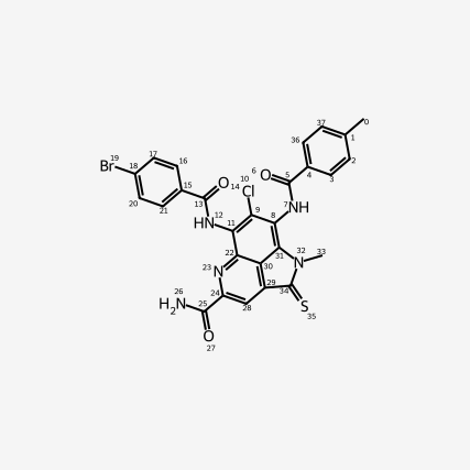 Cc1ccc(C(=O)Nc2c(Cl)c(NC(=O)c3ccc(Br)cc3)c3nc(C(N)=O)cc4c3c2N(C)C4=S)cc1